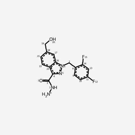 NNC(=O)c1nn(Cc2ccc(F)cc2F)c2cc(CO)ccc12